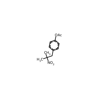 CC(=O)Oc1ccc(CC(C)(C)[N+](=O)[O-])cc1